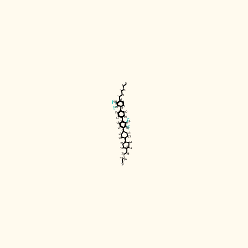 CCCCCCc1ccc(-c2ccc(-c3ccc(C4CCC(C5CCC(CCCCC)CC5)CC4)c(F)c3F)cc2)c(F)c1F